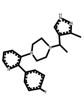 Cc1n[nH]cc1C(C)N1CCN(c2cccnc2-c2ccc(F)cc2)CC1